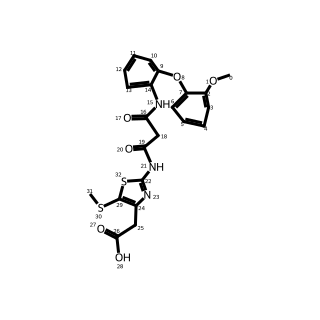 COc1ccccc1Oc1ccccc1NC(=O)CC(=O)Nc1nc(CC(=O)O)c(SC)s1